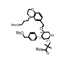 CNC(=O)C(C)(C)C[C@@H]1C[C@H](c2ccc(COC)cc2)[C@@H](OCc2ccc3c(c2)N(CCCOC)CCO3)CN1